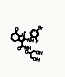 Cn1c(Nc2ccc(Br)cc2F)c(C(=O)NOC(CO)CO)c2c1C(=O)CCC2